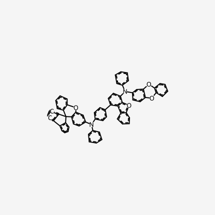 c1ccc(N(c2ccc(-c3ccc(N(c4ccccc4)c4ccc5c(c4)Oc4ccccc4O5)c4oc5ccccc5c34)cc2)c2ccc3c(c2)Oc2ccccc2C32c3ccccc3-c3ccccc32)cc1